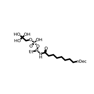 CCCCCCCCCCCCCCCCCC(=O)NN(CC)OP(=O)(O)OCC(O)(O)O